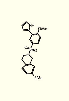 COc1ccc(S(=O)(=O)N2CCc3ccc(SC)cc3C2)cc1-c1ccc[nH]1